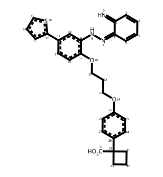 N=C1C=CC=C/C1=N/Nc1cc(-c2cccs2)ccc1OCCCOc1ccc(C2(C(=O)O)CCC2)cc1